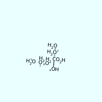 O.O.O.O.O.O=C(O)O